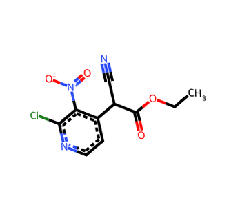 CCOC(=O)C(C#N)c1ccnc(Cl)c1[N+](=O)[O-]